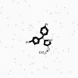 CCOC(=O)O[C@H]1CN[C@@H](C(c2ccc(C(C)C)cc2)c2ccc(C(C)C)cc2)C1